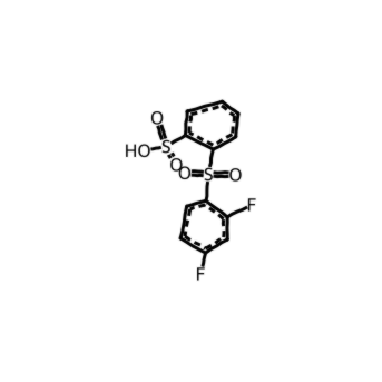 O=S(=O)(O)c1ccccc1S(=O)(=O)c1ccc(F)cc1F